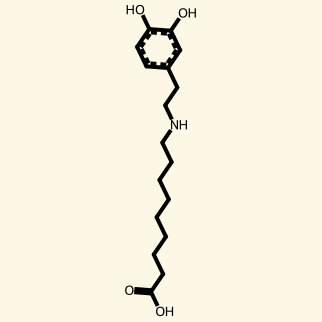 O=C(O)CCCCCCCCNCCc1ccc(O)c(O)c1